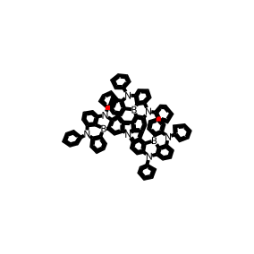 c1ccc(N2c3ccccc3B3c4cc5c(cc4N(c4ccccc4)c4cccc2c43)c2c3c(cc4c6c7c(ccc6n5c42)N(c2ccccc2)c2cccc4c2B7c2ccccc2N4c2ccccc2)N(c2ccccc2)c2cccc4c2B3c2ccccc2N4c2ccccc2)cc1